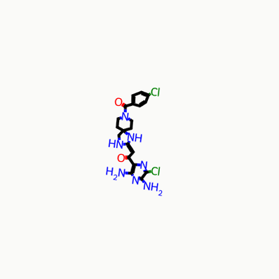 Nc1nc(N)c(C(=O)/C=C2\NCC3(CCN(C(=O)c4ccc(Cl)cc4)CC3)N2)nc1Cl